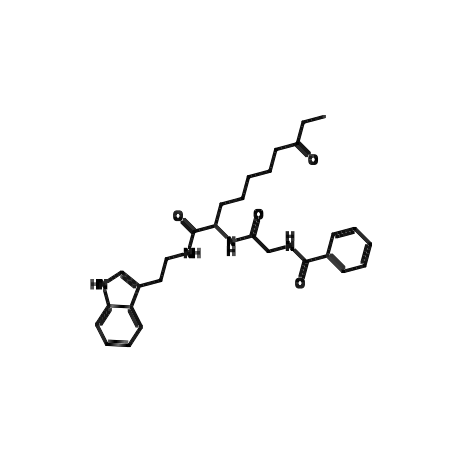 CCC(=O)CCCCCC(NC(=O)CNC(=O)c1ccccc1)C(=O)NCCc1c[nH]c2ccccc12